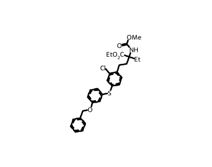 CCOC(=O)C(CC)(CCc1ccc(Sc2cccc(OCc3ccccc3)c2)cc1Cl)NC(=O)OC